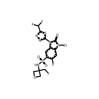 CCn1c(=O)n(-c2nnc(C(F)F)s2)c2cc(S(=O)(=O)NC3(CF)COC3)c(F)cc21